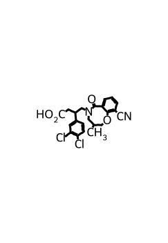 CC1COc2c(C#N)cccc2C(=O)N(CC(CC(=O)O)c2ccc(Cl)c(Cl)c2)C1